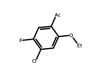 CCOc1cc(Cl)c(F)cc1C(C)=O